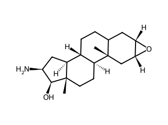 C[C@]12CC[C@H]3[C@@H](CCC4C[C@@H]5O[C@@H]5C[C@@]43C)[C@@H]1C[C@H](N)[C@@H]2O